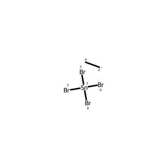 [Br][Sn]([Br])([Br])[Br].[CH2]C